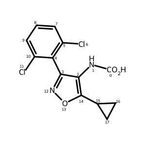 O=C(O)Nc1c(-c2c(Cl)cccc2Cl)noc1C1CC1